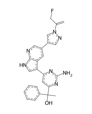 C=C(CF)n1cc(-c2cnc3[nH]cc(-c4cc(C(C)(O)c5ccccc5)nc(N)n4)c3c2)cn1